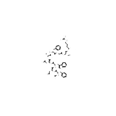 CC(C)C[C@H](NC(=O)CNC(=O)[C@H](Cc1ccccc1)NC(=O)[C@H](CO)NC(=O)[C@H](CC(N)=O)NC(=O)[C@H](Cc1c[nH]c2ccccc12)NC(=O)[C@H](CC(N)=O)NC(=O)[C@@H](Cc1ccc(O)cc1)NC(N)=O)C(=O)N[C@@H](CCCNC(=N)N)C(=O)O